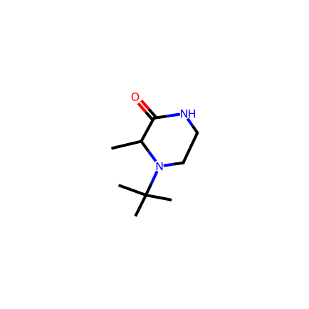 CC1C(=O)NCCN1C(C)(C)C